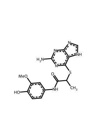 COc1cc(NC(=O)C(C)Sc2nc(N)nc3nc[nH]c23)ccc1O